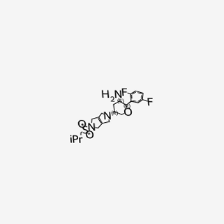 CC(C)CS(=O)(=O)N1CC2=C(CN([C@H]3CO[C@H](c4cc(F)ccc4F)[C@@H](N)C3)C2)C1